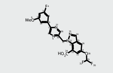 COc1cc(F)cc(-c2cnc(Cn3ncc4cc(OC(F)F)cc(C(=O)O)c43)cn2)c1